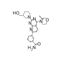 C[C@H]1COCCN1c1nc(N2CCCC(CO)C2)nc2nc(-c3cccc(C(N)=O)c3)ccc12